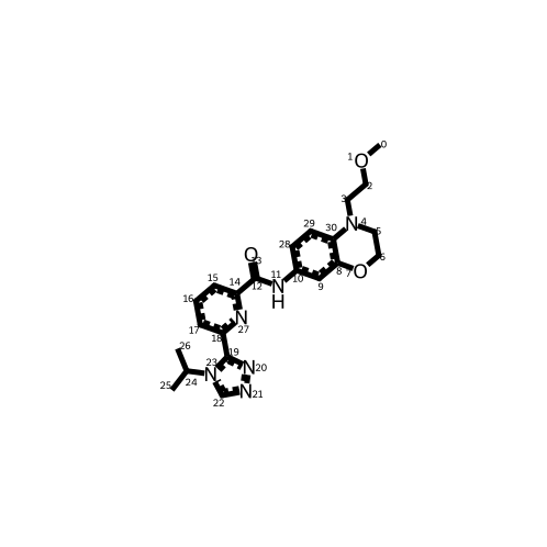 COCCN1CCOc2cc(NC(=O)c3cccc(-c4nncn4C(C)C)n3)ccc21